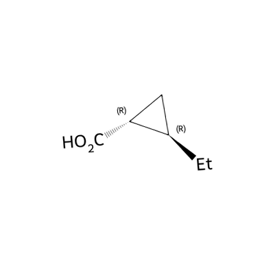 CC[C@@H]1C[C@H]1C(=O)O